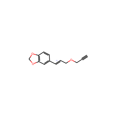 C#CCOC/C=C/c1ccc2c(c1)OCO2